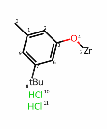 Cc1cc([O][Zr])cc(C(C)(C)C)c1.Cl.Cl